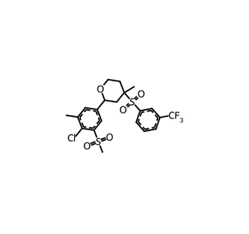 Cc1cc(C2CC(C)(S(=O)(=O)c3cccc(C(F)(F)F)c3)CCO2)cc(S(C)(=O)=O)c1Cl